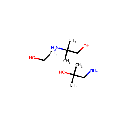 CC(C)(N)CO.CC(C)(O)CN.CCO